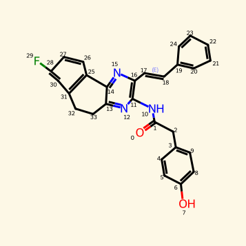 O=C(Cc1ccc(O)cc1)Nc1nc2c(nc1/C=C/c1ccccc1)-c1ccc(F)cc1CC2